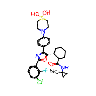 N#CC1(NC(=O)[C@@H]2CCCC[C@H]2c2oc(-c3cccc(Cl)c3F)nc2-c2ccc(N3CCS(O)(O)CC3)cc2)CC1